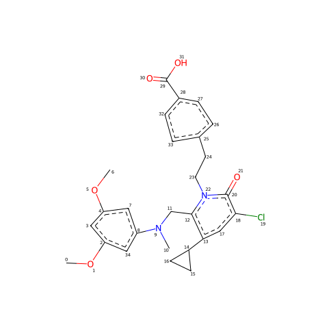 COc1cc(OC)cc(N(C)Cc2c(C3CC3)cc(Cl)c(=O)n2CCc2ccc(C(=O)O)cc2)c1